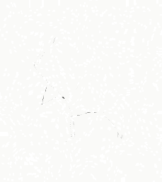 C=CC1CC1(C)C(=O)ON